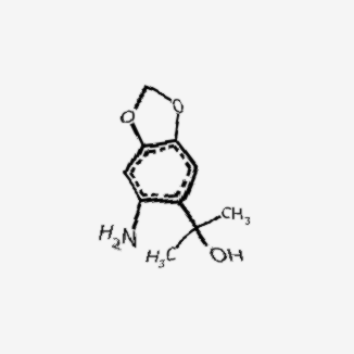 CC(C)(O)c1cc2c(cc1N)OCO2